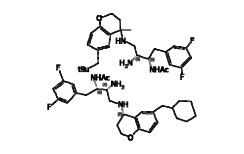 CC(=O)N[C@@H](Cc1cc(F)cc(F)c1)[C@H](N)CNC1(C)CCOc2ccc(CC(C)(C)C)cc21.CC(=O)N[C@@H](Cc1cc(F)cc(F)c1)[C@H](N)CN[C@H]1CCOc2ccc(CC3CCCCC3)cc21